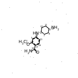 COc1cc(N[C@H]2CC[C@@H](N)CC2)ccc1C(N)=O